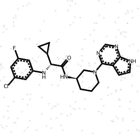 O=C(N[C@@H]1CCCN(c2ncnc3[nH]ccc23)C1)[C@H](Nc1cc(F)cc(Cl)c1)C1CC1